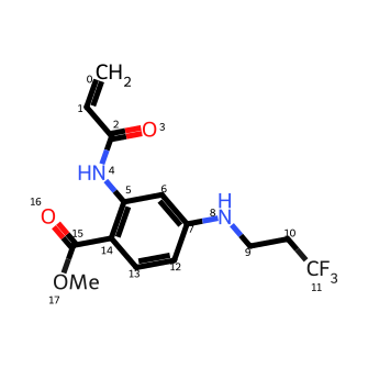 C=CC(=O)Nc1cc(NCCC(F)(F)F)ccc1C(=O)OC